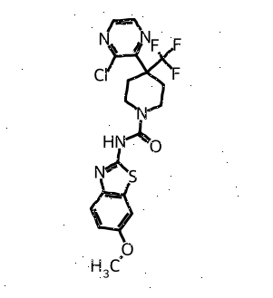 COc1ccc2nc(NC(=O)N3CCC(c4nccnc4Cl)(C(F)(F)F)CC3)sc2c1